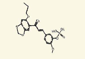 CCCOc1cc2c(cc1C(=O)/C=C/c1ccc(OC)c(OP(=O)(O)O)c1)OCS2